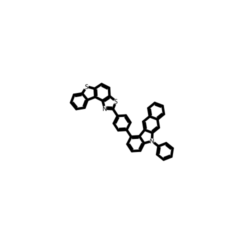 c1ccc(-n2c3cc4ccccc4cc3c3c(-c4ccc(-c5nc6c(ccc7sc8ccccc8c76)s5)cc4)cccc32)cc1